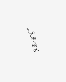 C=CCC(=O)CNCCNCC(=O)CC